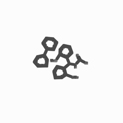 CCC(=O)NC(c1ccccc1OC)c1ccccc1OC.c1ccc(-c2ccccc2)cc1